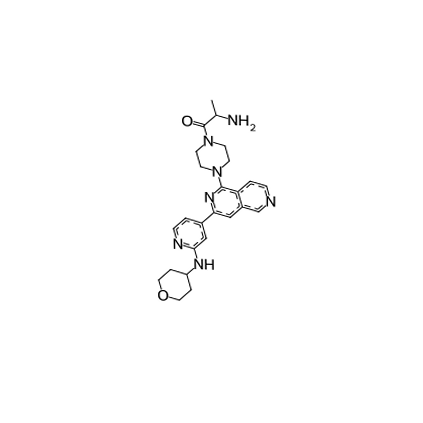 CC(N)C(=O)N1CCN(c2nc(-c3ccnc(NC4CCOCC4)c3)cc3cnccc23)CC1